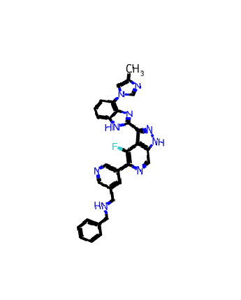 Cc1cn(-c2cccc3[nH]c(-c4n[nH]c5cnc(-c6cncc(CNCc7ccccc7)c6)c(F)c45)nc23)cn1